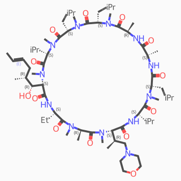 C/C=C/C[C@@H](C)[C@@H](O)[C@H]1C(=O)N[C@@H](CC)C(=O)N(C)[C@H](C)C(=O)N(C)[C@@H]([C@H](C)CN2CCOCC2)C(=O)N[C@@H](C(C)C)C(=O)N(C)[C@@H](CC(C)C)C(=O)N[C@@H](C)C(=O)N[C@H](C)C(=O)N(C)[C@@H](CC(C)C)C(=O)N(C)[C@@H](CC(C)C)C(=O)N(C)[C@@H](C(C)C)C(=O)N1C